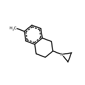 Cc1ccc2c(c1)CCC(N1CC1)C2